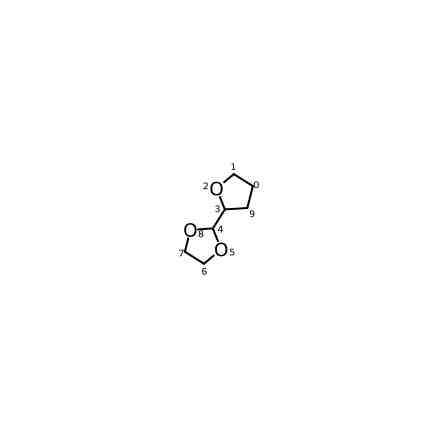 C1COC(C2OCCO2)C1